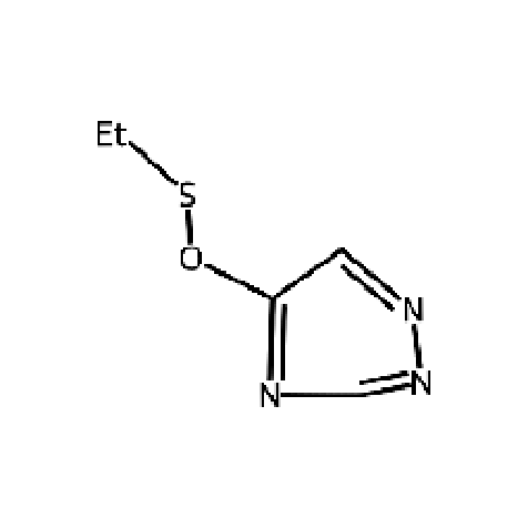 CCSOc1cnncn1